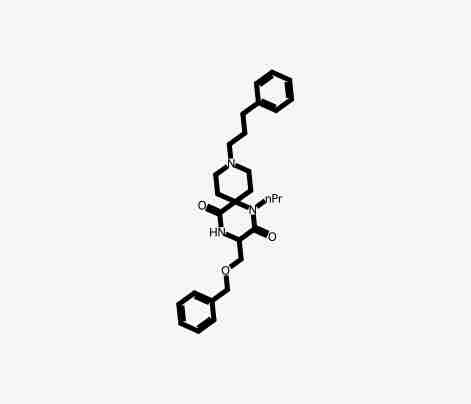 CCCN1C(=O)C(COCc2ccccc2)NC(=O)C12CCN(CCCc1ccccc1)CC2